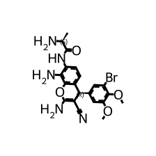 COc1cc([C@H]2C(C#N)=C(N)Oc3c2ccc(NC(=O)[C@H](C)N)c3N)cc(Br)c1OC